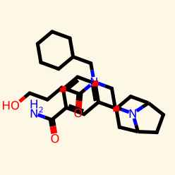 NC(=O)c1cccc(C2CC3CCC(C2)N3CCN(CC2CCCCC2)C(=O)CCCO)c1